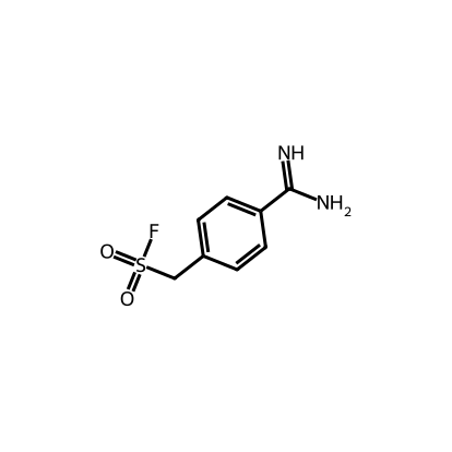 N=C(N)c1ccc(CS(=O)(=O)F)cc1